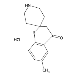 Cc1ccc2c(c1)C(=O)CC1(CCNCC1)S2.Cl